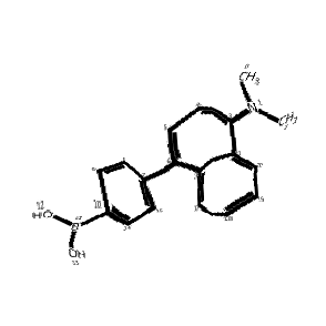 CN(C)c1ccc(-c2ccc(B(O)O)cc2)c2ccccc12